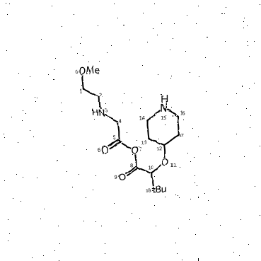 COCCNCC(=O)OC(=O)C(OC1CCNCC1)C(C)(C)C